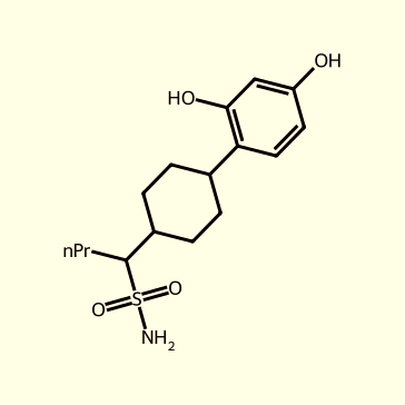 CCCC(C1CCC(c2ccc(O)cc2O)CC1)S(N)(=O)=O